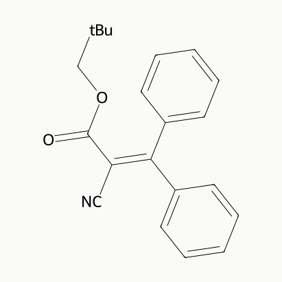 CC(C)(C)COC(=O)C(C#N)=C(c1ccccc1)c1ccccc1